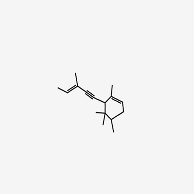 CC=C(C)C#CC1C(C)=CCC(C)C1(C)C